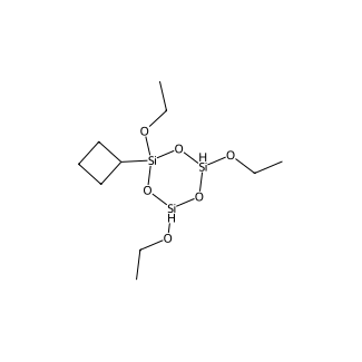 CCO[SiH]1O[SiH](OCC)O[Si](OCC)(C2CCC2)O1